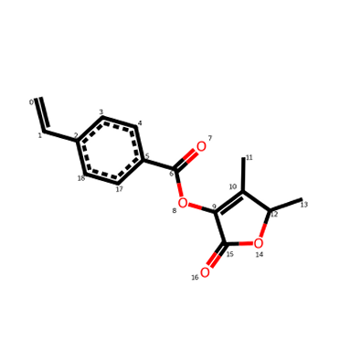 C=Cc1ccc(C(=O)OC2=C(C)C(C)OC2=O)cc1